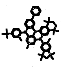 Cc1cc2c3c(c1)N(c1cc4c(cc1C)C(C)(C)CC4(C)C)c1cc4c(cc1B3c1cc(-c3ccccc3)ccc1N2c1ccc(C(C)(C)C)cc1C)C(C)(C)CCC4(C)C